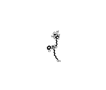 O=C1N[C@H]2[C@H](CS[C@H]2CCCCC(=O)OP(=O)(OCCCCCCCCO)Oc2ccccc2Cl)N1